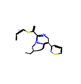 C=C(S/C=C\C)C1=NCC(C2=NSCC=C2)=C2CC(CC)CN12